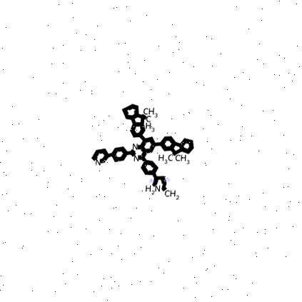 C=C/C=C\C(=C/N)c1ccc(-c2nc(-c3ccc(-c4cccnc4)cc3)nc3c(-c4ccc5c(c4)C(C)(C)c4ccccc4-5)cc(-c4ccc5c(c4)C(C)(C)c4ccccc4-5)cc23)cc1